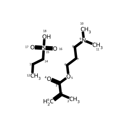 C=C(C)C(=O)OCCCN(C)C.CCCS(=O)(=O)O